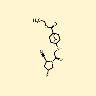 CCOC(=O)C12CCC(NCC(=O)N3CC(F)CC3C#N)(CC1)CC2